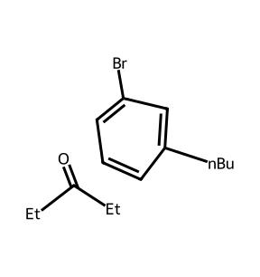 CCC(=O)CC.CCCCc1cccc(Br)c1